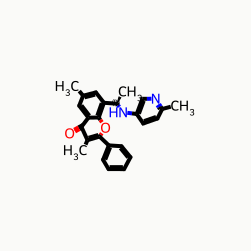 Cc1cc([C@@H](C)Nc2ccc(C)nc2)c2oc(-c3ccccc3)c(C)c(=O)c2c1